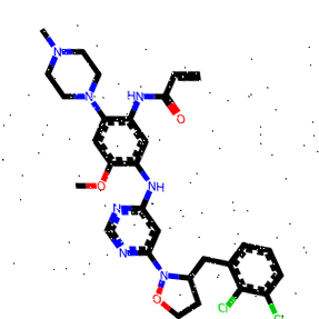 C=CC(=O)Nc1cc(Nc2cc(N3OCCC3Cc3cccc(Cl)c3Cl)ncn2)c(OC)cc1N1CCN(C)CC1